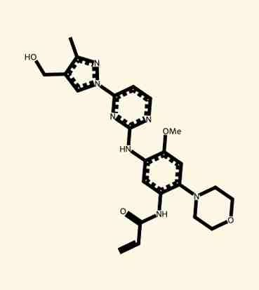 C=CC(=O)Nc1cc(Nc2nccc(-n3cc(CO)c(C)n3)n2)c(OC)cc1N1CCOCC1